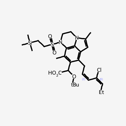 CC/C=C(Cl)\C=C/Cc1c(C(OC(C)(C)C)C(=O)O)c(C)c2c3c1cc(C)n3CCN2S(=O)(=O)CC[Si](C)(C)C